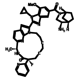 COc1cc(C(=O)N2C[C@H](N)[C@H]3CC[C@@H]2C3)cc2nc(-c3cc4ccc5nc4n3CCCCCC[C@@](F)(c3ccccn3)C(=O)N[C@@H]5C)n(C3CC3)c12